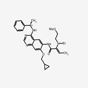 CC=C(C(=O)Nc1cc2c(N[C@H](C)c3ccccc3)ncnc2cc1OCC1CC1)N(CC)CCOC